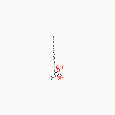 CCCCCCCCCCCCCCCCCCCC(Cc1cc(CC(C)C)c(O)c(CC(C)C)c1)C(=O)O